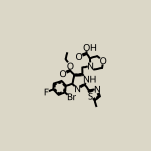 CCOC(=O)C1=C(CN2CCOCC2C(=O)O)NC(c2ncc(C)s2)=NC1c1ccc(F)cc1Br